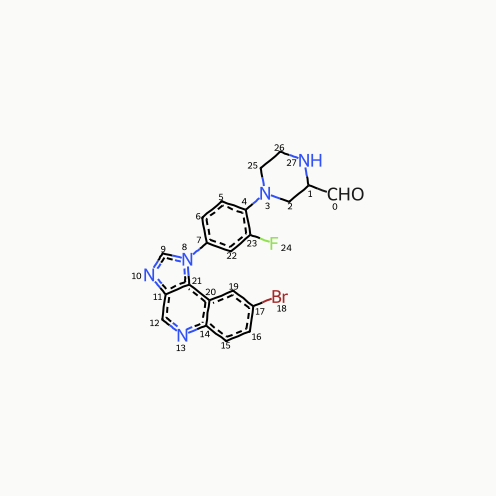 O=CC1CN(c2ccc(-n3cnc4cnc5ccc(Br)cc5c43)cc2F)CCN1